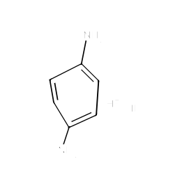 F.F.Nc1ccc(N)cc1